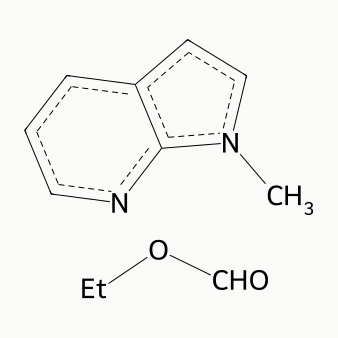 CCOC=O.Cn1ccc2cccnc21